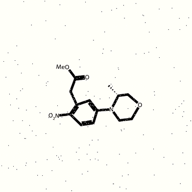 COC(=O)Cc1cc(N2CCOC[C@H]2C)ccc1[N+](=O)[O-]